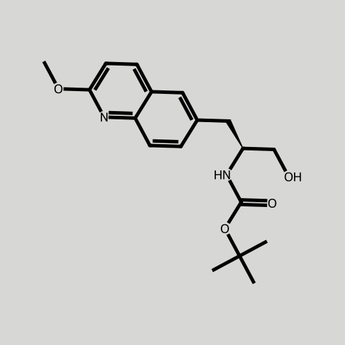 COc1ccc2cc(C[C@@H](CO)NC(=O)OC(C)(C)C)ccc2n1